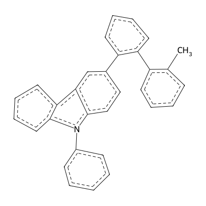 Cc1ccccc1-c1ccccc1-c1ccc2c(c1)c1ccccc1n2-c1ccccc1